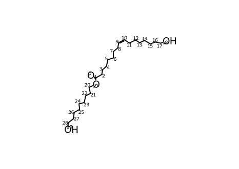 O=C(CCCCCCC/C=C\CCCCCCCO)OCCCCCCCCCO